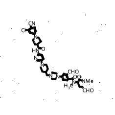 CNC(=O)C(CCC=O)N(C)C(=O)c1ccc(N2CCN(CC3CCN(c4ccc(NC(=O)C5CCN(c6ccc(C#N)c(Cl)c6)CC5)nc4)CC3)CC2)cc1C=O